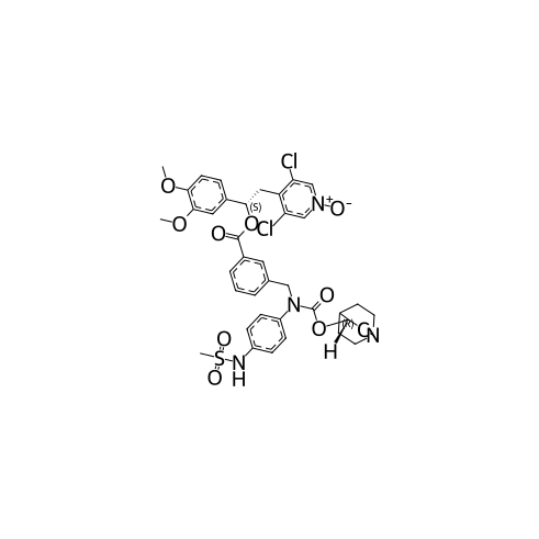 COc1ccc([C@H](Cc2c(Cl)c[n+]([O-])cc2Cl)OC(=O)c2cccc(CN(C(=O)O[C@H]3CN4CCC3CC4)c3ccc(NS(C)(=O)=O)cc3)c2)cc1OC